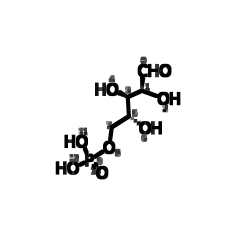 O=C[C@@H](O)[C@H](O)[C@H](O)COP(=O)(O)O